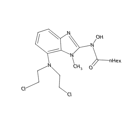 CCCCCCC(=O)N(O)c1nc2cccc(N(CCCl)CCCl)c2n1C